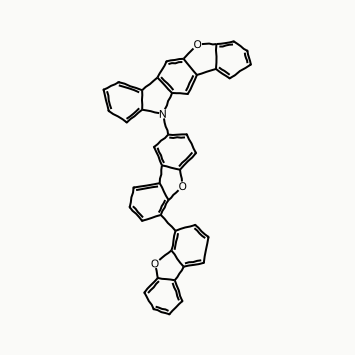 c1ccc2c(c1)oc1cc3c4ccccc4n(-c4ccc5oc6c(-c7cccc8c7oc7ccccc78)cccc6c5c4)c3cc12